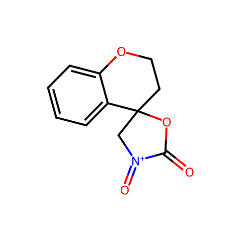 O=C1OC2(CCOc3ccccc32)C[N+]1=O